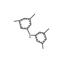 Cc1cc(C)cc(Pc2cc(C)cc(C)c2)c1